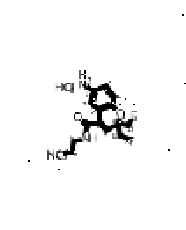 Cl.N#CCCNC(=O)C1=CC(CF)(CF)Oc2ccc(N)cc21